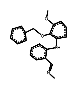 C/N=C/c1ccccc1Pc1cccc(OC)c1OCc1ccccc1